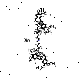 COc1cc2c(cc1OC)C(Cc1cc(OC)c(OC)c(OC)c1)[N+](C)(CCCOC(=O)CC/C=C/CCC(=O)OCCC[N+]1(C)CCc3cc(OC)c(OC)cc3C1Cc1cc(OC)c(OC)c(OC)c1)CC2.[Br-].[Br-]